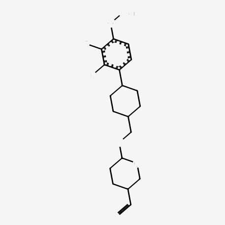 C=CC1CCC(OCC2CCC(c3ccc(OCCCC)c(F)c3F)CC2)OC1